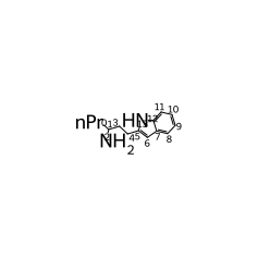 CCCC(N)CCc1cc2ccccc2[nH]1